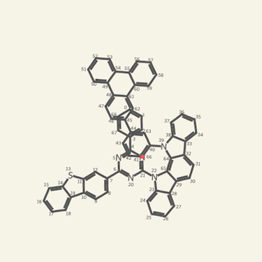 c1ccc(-c2nc(-c3ccc4c(c3)sc3ccccc34)nc(-n3c4ccccc4c4ccc5c6ccccc6n(-c6cccc(-c7ccc8c9ccccc9c9ccccc9c8c7)c6)c5c43)n2)cc1